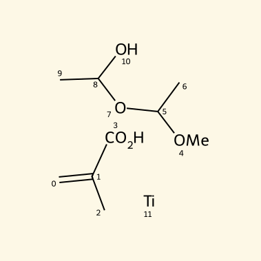 C=C(C)C(=O)O.COC(C)OC(C)O.[Ti]